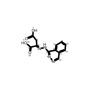 O=C(O)C/C(=N\Nc1nncc2ccccc12)C(=O)O